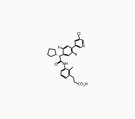 Cc1c(CCC(=O)O)cccc1NC(=O)[C@@H](c1cc(F)c(-c2cncc(Cl)c2)cc1F)C1CCCC1